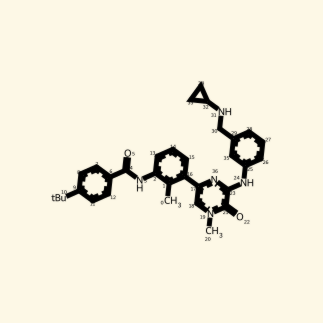 Cc1c(NC(=O)c2ccc(C(C)(C)C)cc2)cccc1-c1cn(C)c(=O)c(Nc2cccc(CNC3CC3)c2)n1